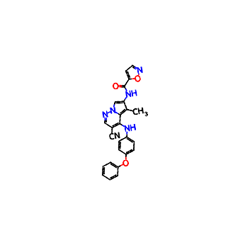 Cc1c(NC(=O)c2ccno2)cn2ncc(C#N)c(Nc3ccc(Oc4ccccc4)cc3)c12